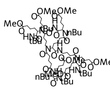 CCCCC(C(=O)NC(C)(C)C)N(CCCC(=O)OC)C(=O)CCCC(=O)N(CCCC(=O)N(CCCC(=O)OC)C(CCCC(=O)OC)C(=O)NC(C)(C)C)C(CCCC(=O)N(CCCC)C(CCCC(=O)OC)C(=O)NC(C)(C)C)C(=O)NCCCC(=O)N(CCCC(=O)OC)C(CCCC(=O)OC)C(=O)NC(C)(C)C